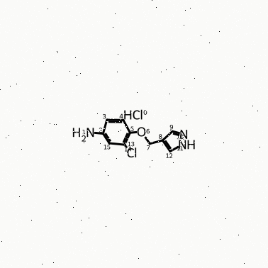 Cl.Nc1ccc(OCc2cn[nH]c2)c(Cl)c1